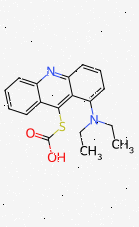 CCN(CC)c1cccc2nc3ccccc3c(SC(=O)O)c12